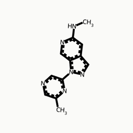 CNc1cc2cnn(-c3cncc(C)n3)c2cn1